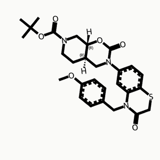 COc1ccc(CN2C(=O)CSc3ccc(N4C[C@H]5CCN(C(=O)OC(C)(C)C)C[C@@H]5OC4=O)cc32)cc1